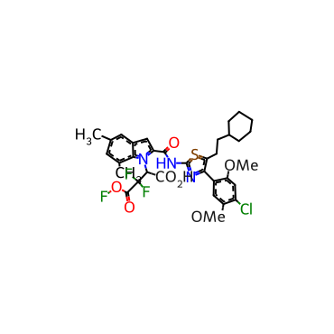 COc1cc(-c2nc(NC(=O)c3cc4cc(C)cc(C)c4n3C(C(=O)O)C(F)(F)C(=O)OF)sc2CCC2CCCCC2)c(OC)cc1Cl